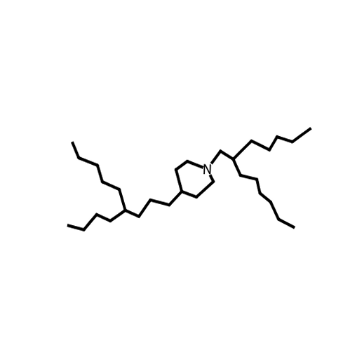 CCCCCCC(CCCCC)CN1CCC(CCCC(CCCC)CCCCC)CC1